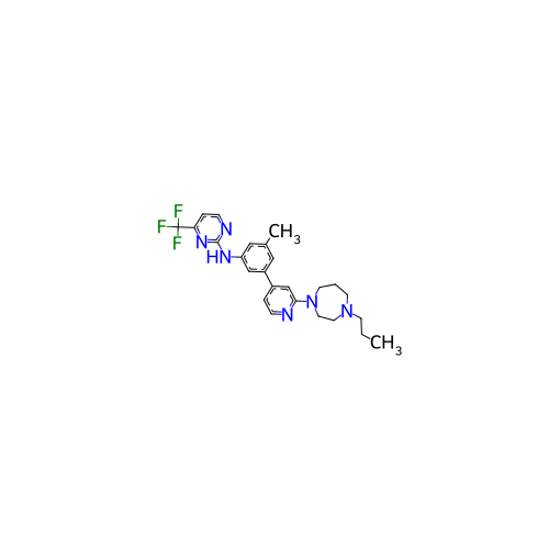 CCCN1CCCN(c2cc(-c3cc(C)cc(Nc4nccc(C(F)(F)F)n4)c3)ccn2)CC1